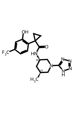 C[C@H]1C[C@@H](NC(=O)C2(c3ccc(C(F)(F)F)cc3O)CC2)CN(c2nnn[nH]2)C1